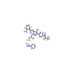 CCNc1ccccc1.CCOC(=O)CC1=NN(c2ccc(NC(=O)C(F)(F)F)cc2)C(=O)/C1=C/Nc1ccccc1CC